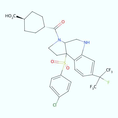 O=C(O)[C@H]1CC[C@H](C(=O)N2CCC3(S(=O)(=O)c4ccc(Cl)cc4)c4ccc(C(F)(C(F)(F)F)C(F)(F)F)cc4NCC23)CC1